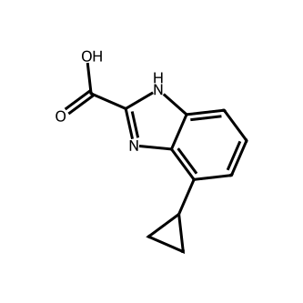 O=C(O)c1nc2c(C3CC3)cccc2[nH]1